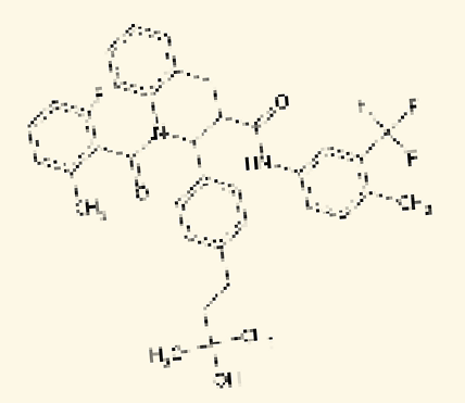 Cc1ccc(NC(=O)C2Cc3ccccc3N(C(=O)c3c(C)cccc3F)C2c2ccc(CCC(C)(C)O)cc2)cc1C(F)(F)F